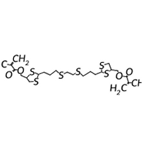 C=C(C)C(=O)OCC1CSC(CCCSCCSCCCC2SCC(COC(=O)C(=C)C)S2)S1